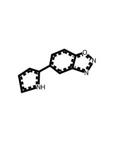 c1c[nH]c(-c2ccc3onnc3c2)c1